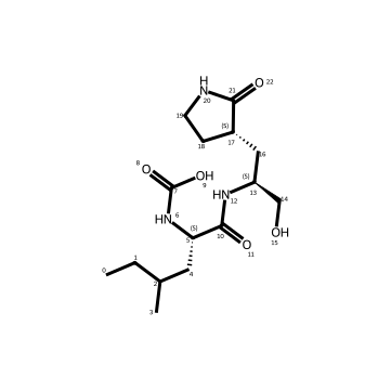 CCC(C)C[C@H](NC(=O)O)C(=O)N[C@H](CO)C[C@@H]1CCNC1=O